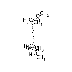 CCOC(=O)CC(C)(C)CCCCCCCCCCC(C)(C)C(C#N)(C#N)C(=O)OCC